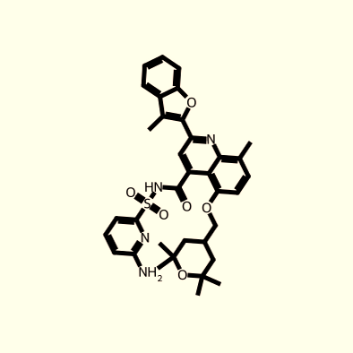 Cc1c(-c2cc(C(=O)NS(=O)(=O)c3cccc(N)n3)c3c(OCC4CC(C)(C)OC(C)(C)C4)ccc(C)c3n2)oc2ccccc12